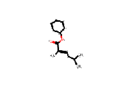 CC(=CCC(C)C)C(=O)OC1CCCCC1